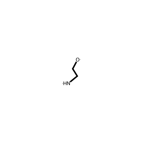 [NH]CC[O]